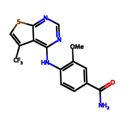 COc1cc(C(N)=O)ccc1Nc1ncnc2scc(C(F)(F)F)c12